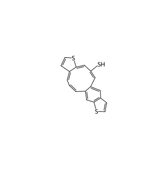 Sc1cc2cc3ccsc3cc2cccc2ccsc2c1